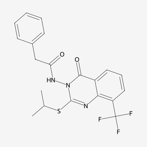 CC(C)Sc1nc2c(C(F)(F)F)cccc2c(=O)n1NC(=O)Cc1ccccc1